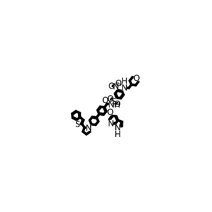 O=C(NS(=O)(=O)c1ccc(NCC2CCOCC2)c([N+](=O)[O-])c1)c1ccc(C2=CCC(N3CCCC3c3cc4ccccc4s3)CC2)cc1Oc1cnc2[nH]ccc2c1